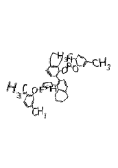 Cc1ccc(C)c(OPOc2c(-c3ccc4c(c3OPOc3cc(C)ccc3C)CCCC4)ccc3c2CCCC3)c1